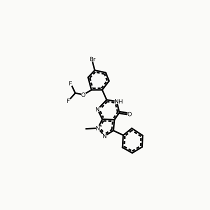 Cn1nc(-c2ccccc2)c2c(=O)[nH]c(-c3ccc(Br)cc3OC(F)F)nc21